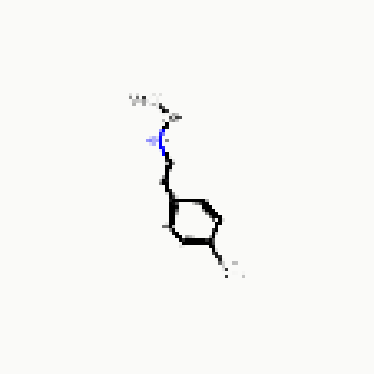 COBNCCc1ccc([N+](=O)[O-])cc1